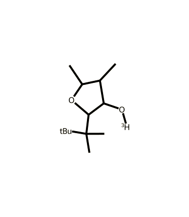 [3H]OC1C(C)C(C)OC1C(C)(C)C(C)(C)C